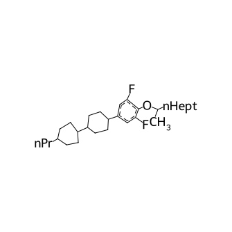 CCCCCCCC(C)Oc1c(F)cc(C2CCC(C3CCC(CCC)CC3)CC2)cc1F